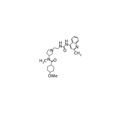 COC1CCC(C(=O)N(C)C2CCN(CCNC(=O)Nc3cc(C)nc4ccccc34)C2)CC1